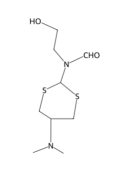 CN(C)C1CSC(N(C=O)CCO)SC1